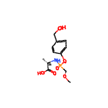 COCP(=O)(N[C@@H](C)C(=O)O)Oc1ccc(CO)cc1